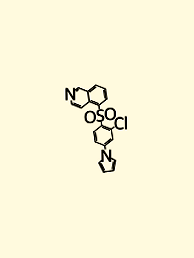 O=S(=O)(c1ccc(-n2cccc2)cc1Cl)c1cccc2cnccc12